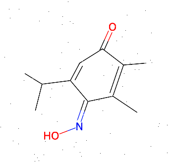 CC1=C(C)C(=NO)C(C(C)C)=CC1=O